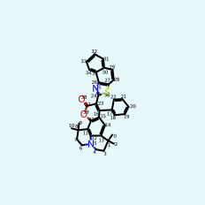 CC1(C)CCN2CCC(C)(C)c3c2c1cc1c(-c2ccccc2)c(-c2nc4c(ccc5ccccc54)s2)c(=O)oc31